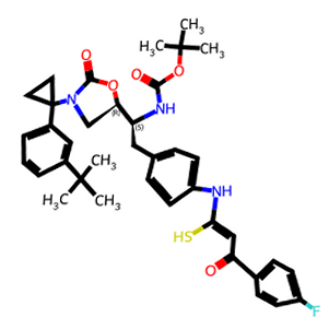 CC(C)(C)OC(=O)N[C@@H](Cc1ccc(NC(S)=CC(=O)c2ccc(F)cc2)cc1)[C@H]1CN(C2(c3cccc(C(C)(C)C)c3)CC2)C(=O)O1